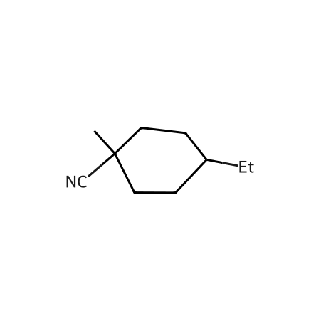 CCC1CCC(C)(C#N)CC1